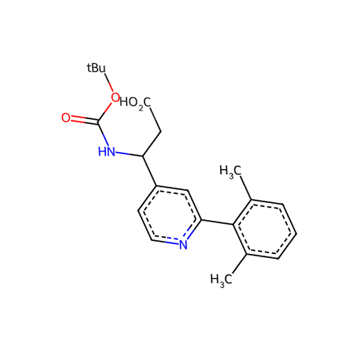 Cc1cccc(C)c1-c1cc(C(CC(=O)O)NC(=O)OC(C)(C)C)ccn1